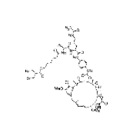 COc1cc2cc(c1Cl)N(C)C(=O)C[C@H](OC(=O)Nc1ccc(NC(=O)[C@H](CCCNC(N)=O)NC(=O)[C@@H](NC(=O)CCCCCOC(=O)C(CBr)CBr)C(C)C)cc1)[C@]1(C)O[C@H]1[C@H](C)[C@@H]1C[C@@](O)(NC(=O)O1)[C@H](OC)/C=C/C=C(\C)C2